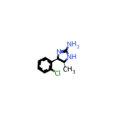 C[C@H]1NC(N)=N[C@@H]1c1ccccc1Cl